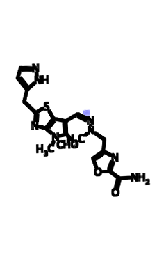 CN(Cc1coc(C(N)=O)n1)/N=C\c1c(C=O)n(C)c2nc(Cc3ccn[nH]3)sc12